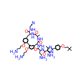 Cc1nc(-c2ccc(OCCC(C)(C)C)cc2)nc(N)c1C(=O)NC(CCN)C(=O)N(C)C1C(=O)NC(C)C(=O)NC(C(=O)NCC#N)Cc2ccc(OCCCN)c(c2)-c2cc1ccc2OCCCN